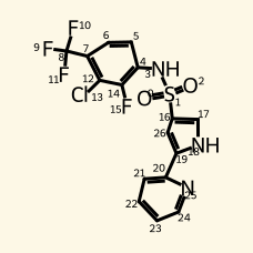 O=S(=O)(Nc1ccc(C(F)(F)F)c(Cl)c1F)c1c[nH]c(-c2ccccn2)c1